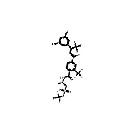 CC(CS(=O)(=O)CC(F)(F)F)NC(=O)c1ccc(/C(F)=C/C(c2cc(Cl)cc(Cl)c2)C(F)(F)F)cc1C(F)(F)F